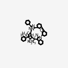 CCC1=C2C(C)C(c3ccccc3)=CC1(C)c1nc(-c3ccccc3)nc(n1)-c1cccc3c1oc1c(cccc13)-n1c(N)c(c3ccccc31)C2C